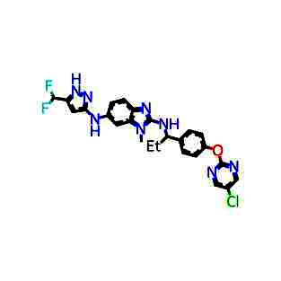 CCC(Nc1nc2ccc(Nc3cc(C(F)F)[nH]n3)cc2n1C)c1ccc(Oc2ncc(Cl)cn2)cc1